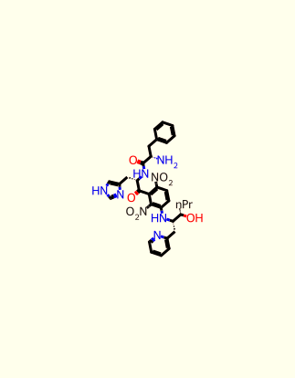 CCC[C@H](O)[C@H](Cc1ccccn1)Nc1ccc([N+](=O)[O-])c(C(=O)[C@H](Cc2c[nH]cn2)NC(=O)[C@@H](N)Cc2ccccc2)c1[N+](=O)[O-]